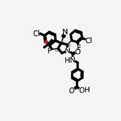 CC(C)(C)C[C@@H]1CN(C(=O)NCc2ccc(C(=O)O)cc2)[C@H](C2CC=CC(Cl)=C2F)[C@@]1(C#N)c1ccc(Cl)cc1F